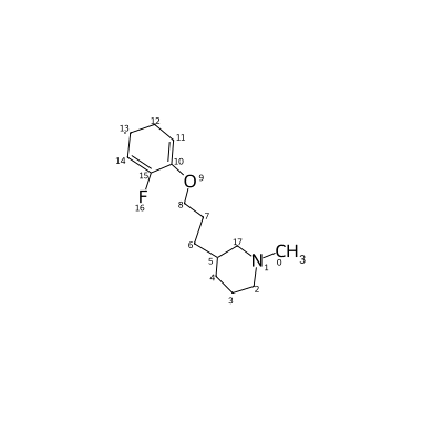 CN1CCCC(CCCOC2=CC[CH]C=C2F)C1